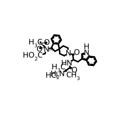 CC(C)(N)C(=O)NC(Cc1c[nH]c2ccccc12)C(=O)N1CCC2(CC1)C[C@@H](N(CC(=O)O)S(C)(=O)=O)c1ccccc12.Cl